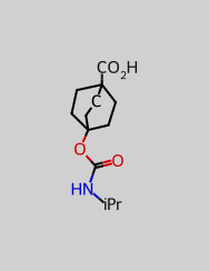 CC(C)NC(=O)OC12CCC(C(=O)O)(CC1)CC2